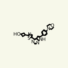 OC1CC(c2ncc(-c3ncnc4[nH]c(-c5ccc(N6CCOCC6)cc5)cc34)s2)C1